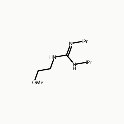 COCCNC(=NC(C)C)NC(C)C